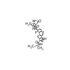 CCCC(C)NC(=O)c1n[nH]c2c(F)c(-c3c(F)ccc(NS(=O)(=O)c4cc(Cl)cnc4OC)c3F)ccc12